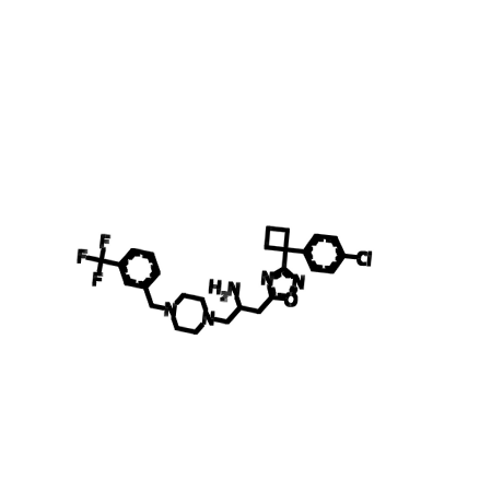 NC(Cc1nc(C2(c3ccc(Cl)cc3)CCC2)no1)CN1CCN(Cc2cccc(C(F)(F)F)c2)CC1